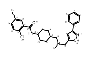 CN(Cc1cc(-c2ccccc2)n[nH]1)CC1CCC(NC(=O)c2cc(Cl)ccc2Cl)CC1